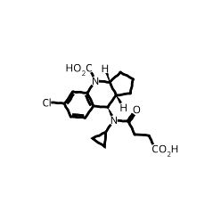 O=C(O)CCC(=O)N(C1CC1)[C@H]1c2ccc(Cl)cc2N(C(=O)O)[C@@H]2CCC[C@@H]21